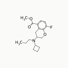 CCCN(C1CCC1)C1COc2c(F)ccc(C(=O)OC)c2C1